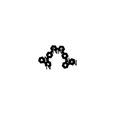 C1=C(c2ccc(-n3c4ccccc4c4cnccc43)cc2)N=C(c2cccc(-c3ccc(-n4c5ccccc5c5cnccc54)cc3)n2)CC1